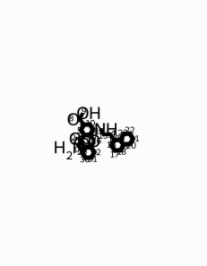 NS(=O)(=O)c1cc(C(=O)O)cc(NCCc2cccc3ccccc23)c1Oc1ccccc1